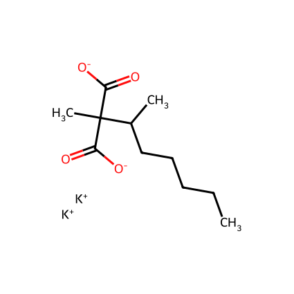 CCCCCC(C)C(C)(C(=O)[O-])C(=O)[O-].[K+].[K+]